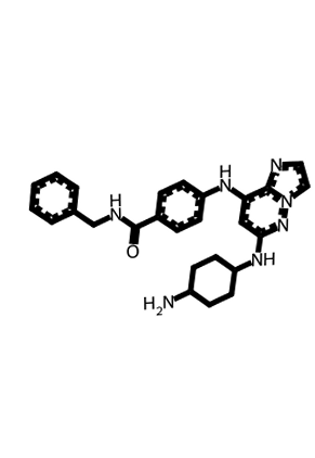 NC1CCC(Nc2cc(Nc3ccc(C(=O)NCc4ccccc4)cc3)c3nccn3n2)CC1